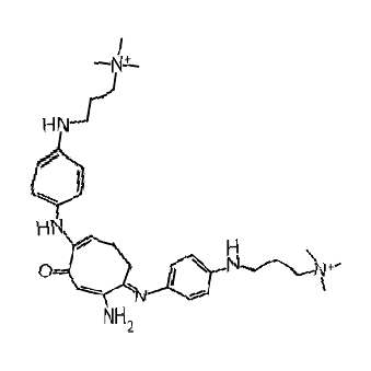 C[N+](C)(C)CCCNc1ccc(/N=C2CCC=C(Nc3ccc(NCCC[N+](C)(C)C)cc3)C(=O)/C=C\2N)cc1